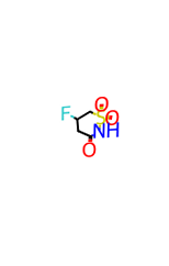 O=C1CC(F)CS(=O)(=O)N1